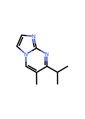 Cc1cn2ccnc2nc1C(C)C